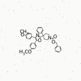 COc1ccc(-c2nc(C3(c4ccccc4)CCN(C(=O)OCc4ccccc4)CC3)oc2-c2ccc(OC)cc2)cc1